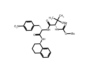 CSC(C)(C)[C@H](NC(=O)OC(C)(C)C)C(=O)N[C@@H](Cc1ccc([N+](=O)[O-])cc1)C(=O)N[C@@H]1CCCc2ccccc21